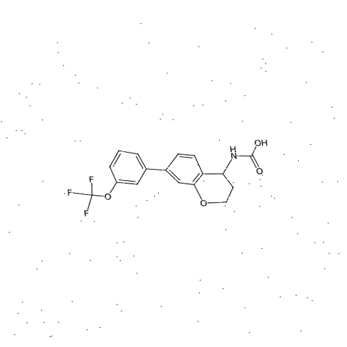 O=C(O)NC1CCOc2cc(-c3cccc(OC(F)(F)F)c3)ccc21